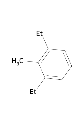 CCc1[c]ccc(CC)c1C